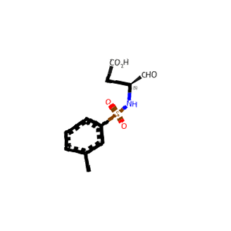 Cc1cccc(S(=O)(=O)N[C@H](C=O)CC(=O)O)c1